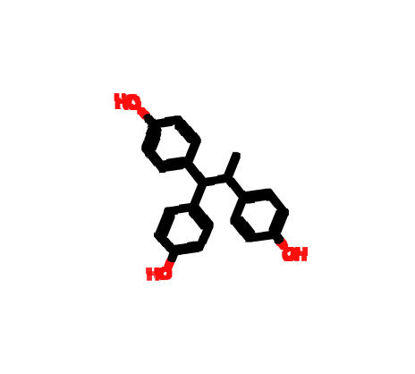 CC(c1ccc(O)cc1)C(c1ccc(O)cc1)c1ccc(O)cc1